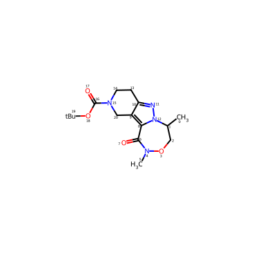 CC1CON(C)C(=O)c2c3c(nn21)CCN(C(=O)OC(C)(C)C)C3